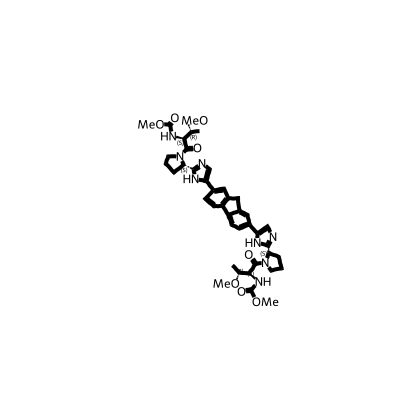 COC(=O)N[C@H](C(=O)N1CCC[C@H]1c1ncc(-c2ccc3c(c2)Cc2cc(-c4cnc([C@@H]5CCCN5C(=O)[C@@H](NC(=O)OC)[C@@H](C)OC)[nH]4)ccc2-3)[nH]1)[C@@H](C)OC